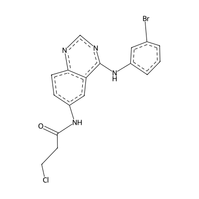 O=C(CCCl)Nc1ccc2ncnc(Nc3cccc(Br)c3)c2c1